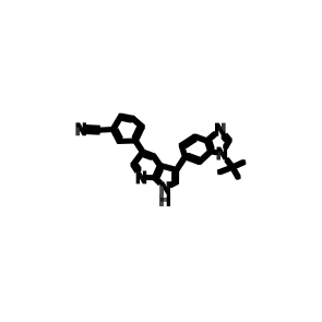 CC(C)(C)n1cnc2ccc(-c3c[nH]c4ncc(-c5cccc(C#N)c5)cc34)cc21